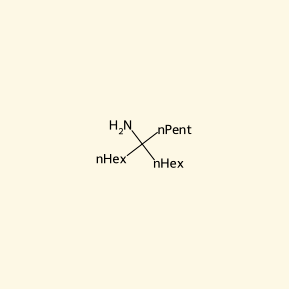 CCCCCCC(N)(CCCCC)CCCCCC